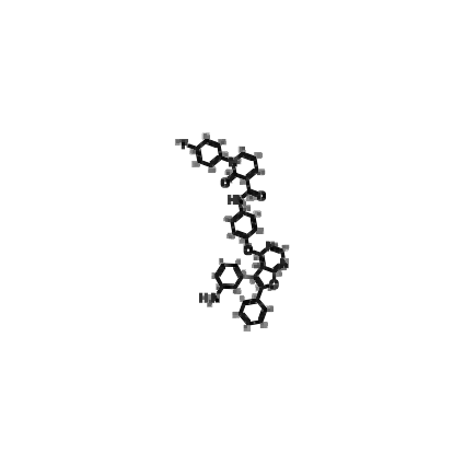 Nc1cccc(-c2c(-c3ccccc3)oc3ncnc(Oc4ccc(NC(=O)c5cccn(-c6ccc(F)cc6)c5=O)cc4)c23)c1